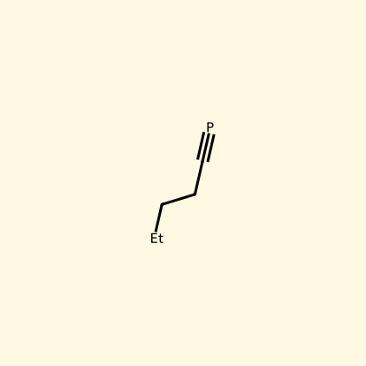 CCCCC#P